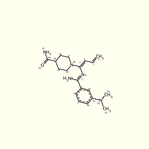 C=C/C=C(\N=C(/N)c1cccc(N(C)C)c1)N1CCC(C(N)=O)CC1